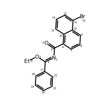 CCOC(=NC(=O)c1cccc2c(Br)cccc12)c1ccccc1